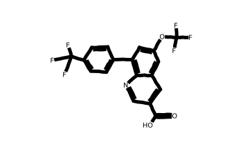 O=C(O)c1cnc2c(-c3ccc(C(F)(F)F)cc3)cc(OC(F)(F)F)cc2c1